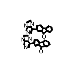 O=C1c2ccccc2-c2ccc(-c3cncc4nccnc34)cc21.O=C1c2ccccc2-c2ccc(-c3cncc4nccnc34)cc21